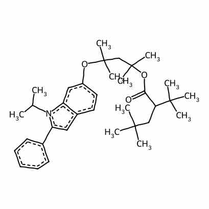 CC(C)n1c(-c2ccccc2)cc2ccc(OC(C)(C)CC(C)(C)OC(=O)C(CC(C)(C)C)C(C)(C)C)cc21